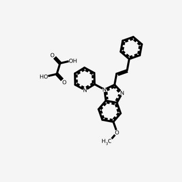 COc1ccc2c(c1)nc(C=Cc1ccccc1)n2-c1ccccn1.O=C(O)C(=O)O